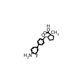 C[C@@]1(C(=O)O)CCC[C@H]1C(=O)c1ccc(-c2ccc(N)c(F)c2)cc1